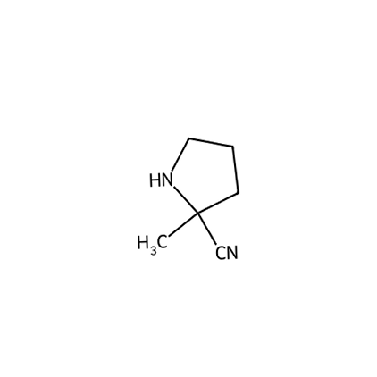 CC1(C#N)CCCN1